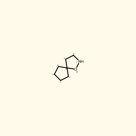 C1CCC2(C1)CCNO2